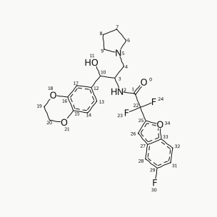 O=C(NC(CN1CCCC1)C(O)c1ccc2c(c1)OCCO2)C(F)(F)c1cc2cc(F)ccc2o1